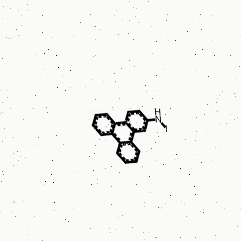 INc1ccc2c3ccccc3c3ccccc3c2c1